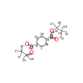 CC1(C)COB(c2ccc(B3OCC(C)(C)C(C)(C)O3)cc2)OC1(C)C